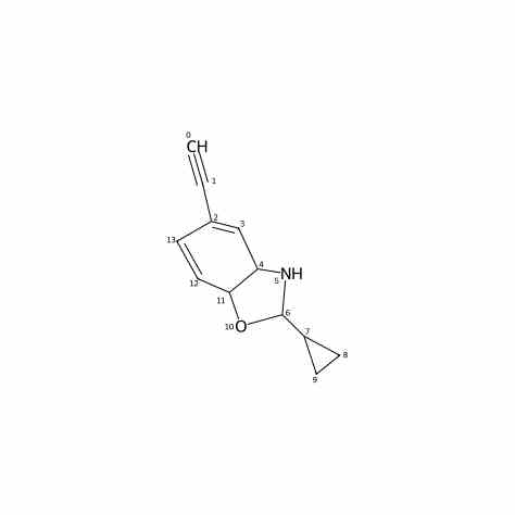 C#CC1=CC2NC(C3CC3)OC2C=C1